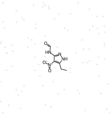 CCc1[nH]nc(NC=O)c1[N+](=O)[O-]